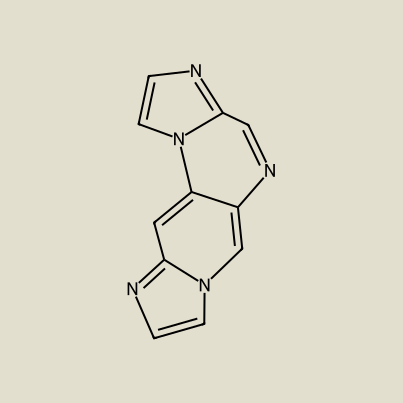 c1cn2cc3ncc4nccn4c3cc2n1